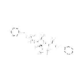 CC1(C)[C@H](C(=O)OCc2ccccc2)N2C(=O)[C@@H](NC(=O)OCc3ccccc3)[C@H]2[S+]1[O-]